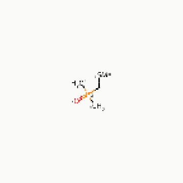 CSCP(C)(C)=O